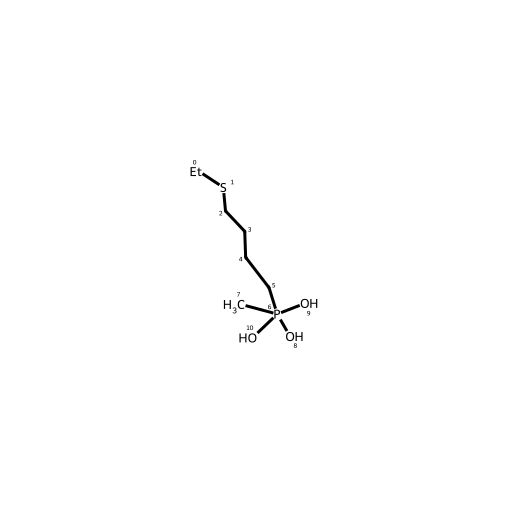 CCSCCCCP(C)(O)(O)O